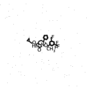 C[C@@H](OC[C@@]1(c2ccccc2)CC[C@]2(COCC3CC3)CN1CC(=O)N2)c1cc(CF)cc(C(F)(F)F)c1